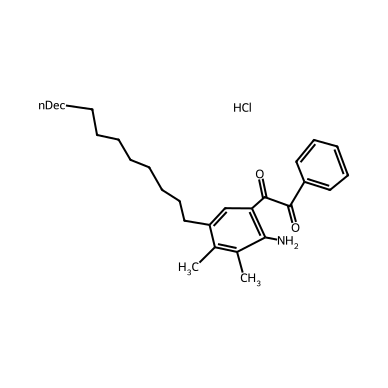 CCCCCCCCCCCCCCCCCCc1cc(C(=O)C(=O)c2ccccc2)c(N)c(C)c1C.Cl